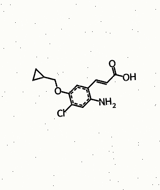 Nc1cc(Cl)c(OCC2CC2)cc1C=CC(=O)O